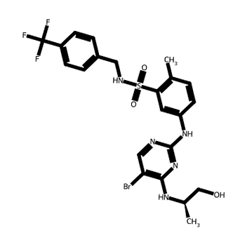 Cc1ccc(Nc2ncc(Br)c(N[C@H](C)CO)n2)cc1S(=O)(=O)NCc1ccc(C(F)(F)F)cc1